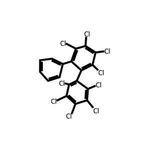 Clc1c(Cl)c(Cl)c(-c2c(Cl)c(Cl)c(Cl)c(Cl)c2-c2ccccc2)c(Cl)c1Cl